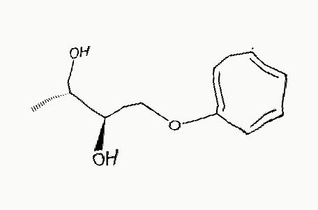 C[C@H](O)[C@H](O)COc1c[c]ccc1